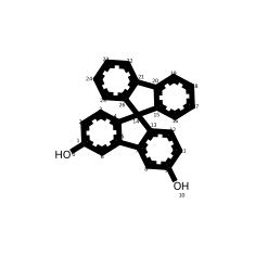 Oc1ccc2c(c1)-c1cc(O)ccc1C21c2ccccc2-c2ccccc21